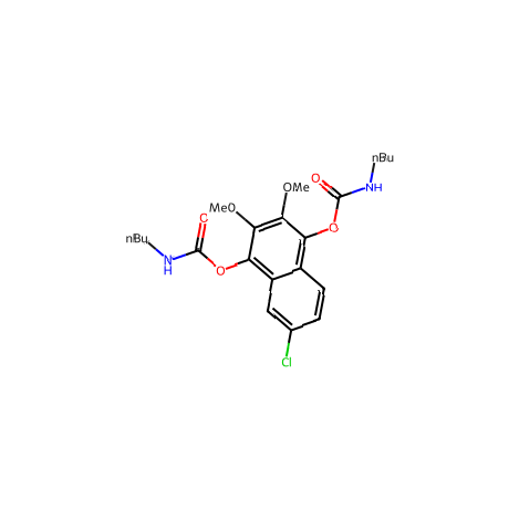 CCCCNC(=O)Oc1c(OC)c(OC)c(OC(=O)NCCCC)c2cc(Cl)ccc12